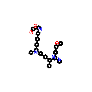 COc1ccc2oc3ccnc(-c4ccc(-c5ccc(-c6ccc(-c7cc(-c8ccccc8)nc(-c8ccc(-c9ccc(-c%10cc(-c%11ccccc%11)cc(-c%11cc(-c%12ccccn%12)cc(-c%12ccc(-c%13ccc%14oc%15ccccc%15c%14c%13)cc%12)n%11)c%10)cc9)cc8)c7)cc6)cc5)cc4)c3c2c1